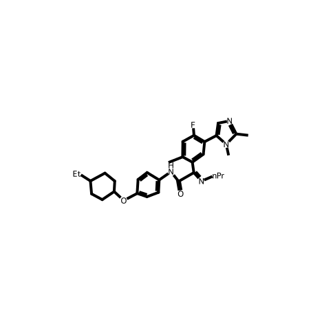 CCC/N=C(/C(=O)Nc1ccc(OC2CCC(CC)CC2)cc1)c1cc(-c2cnc(C)n2C)c(F)cc1C